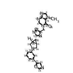 Cn1cnc2ncn(Cc3nc([C@@H]4C5CN(c6cccc(-c7cnco7)c6)C[C@@H]54)no3)c(=O)c21